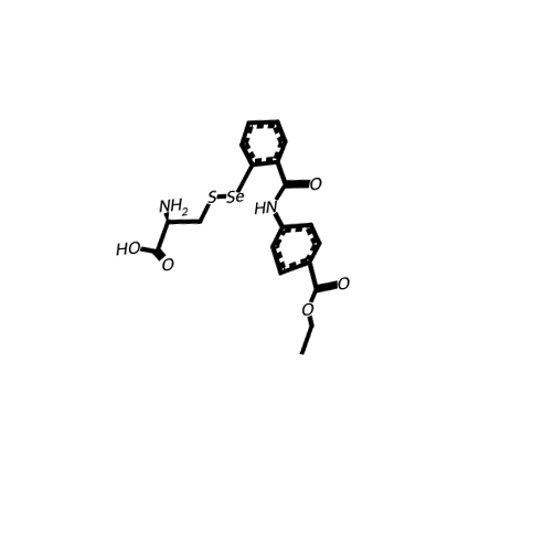 CCOC(=O)c1ccc(NC(=O)c2ccccc2[Se]SC[C@H](N)C(=O)O)cc1